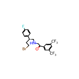 O=C(CNC[C@@H](CCBr)c1ccc(F)cc1)c1cc(C(F)(F)F)cc(C(F)(F)F)c1